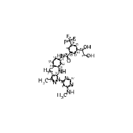 CNc1cc(-n2nc(C)cc2Nc2cc(NC(=O)c3cc(C(O)CO)cc(C(F)(F)F)c3)ccc2C)ncn1